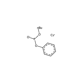 CCCCOP([O-])Oc1ccccc1.[Cs+]